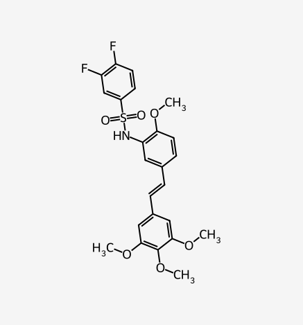 COc1ccc(C=Cc2cc(OC)c(OC)c(OC)c2)cc1NS(=O)(=O)c1ccc(F)c(F)c1